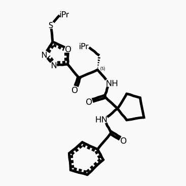 CC(C)C[C@H](NC(=O)C1(NC(=O)c2ccccc2)CCCC1)C(=O)c1nnc(SC(C)C)o1